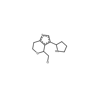 ClCC1OCCc2scc(C3CCCN3)c21